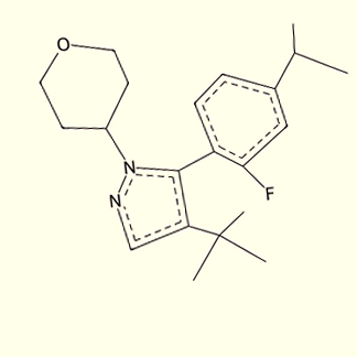 CC(C)c1ccc(-c2c(C(C)(C)C)cnn2C2CCOCC2)c(F)c1